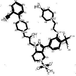 CS(=O)(=O)N1CCc2c(c(-c3ccc(C(F)(F)F)c(SCCN4CCC(O)CC4)c3)nn2CC(O)CN2CCN(c3ccccc3C#N)CC2)C1